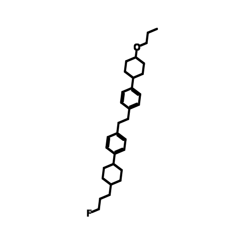 CCCOC1CCC(c2ccc(CCc3ccc(C4CCC(CCCF)CC4)cc3)cc2)CC1